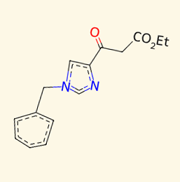 CCOC(=O)CC(=O)c1cn(Cc2ccccc2)cn1